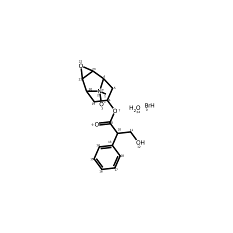 Br.C[N+]1([O-])C2CC(OC(=O)C(CO)c3ccccc3)CC1C1OC12.O